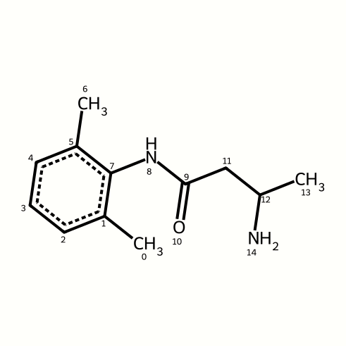 Cc1cccc(C)c1NC(=O)CC(C)N